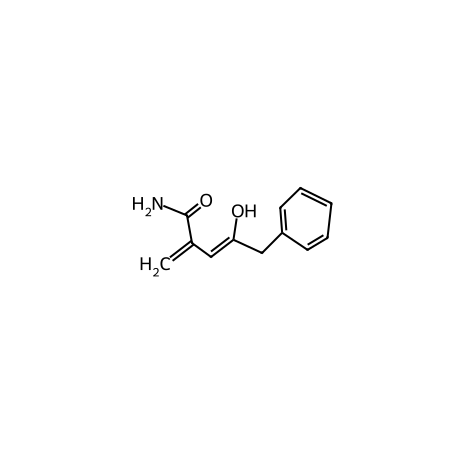 C=C(/C=C(\O)Cc1ccccc1)C(N)=O